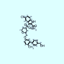 Cc1ccc(OC[C@@H]2CN(S(=O)(=O)c3c(C(N)=O)[nH]c4ccc(Cl)cc34)CCO2)cc1-c1ccc(CO)nc1